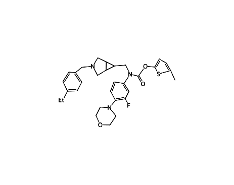 CCc1ccc(CN2CC3C(C2)C3CN(C(=O)Oc2ccc(C)s2)c2ccc(N3CCOCC3)c(F)c2)cc1